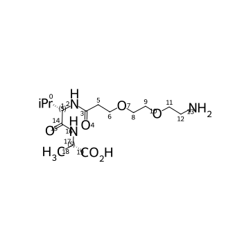 CC(C)[C@H](NC(=O)CCOCCOCCN)C(=O)N[C@@H](C)C(=O)O